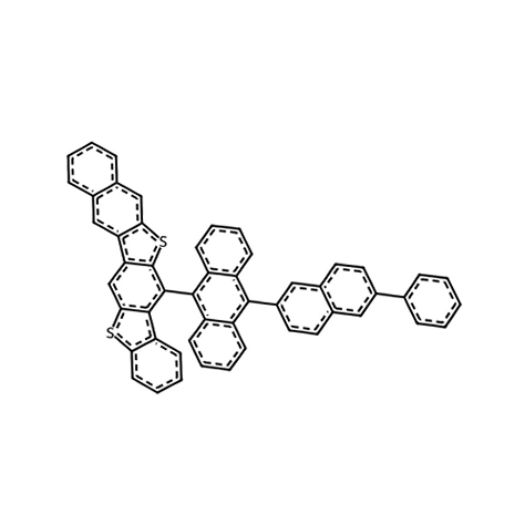 c1ccc(-c2ccc3cc(-c4c5ccccc5c(-c5c6sc7cc8ccccc8cc7c6cc6sc7ccccc7c56)c5ccccc45)ccc3c2)cc1